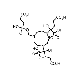 O=C(O)CCC(O)(N1CCN(COP(=O)(O)CCC(=O)O)CCN(C(O)(CCC(=O)O)P(=O)(O)O)CC1)P(=O)(O)O